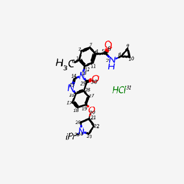 Cc1ccc(C(=O)NC2CC2)cc1-n1cnc2ccc(O[C@H]3CCN(C(C)C)C3)cc2c1=O.Cl